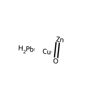 [Cu].[O]=[Zn].[PbH2]